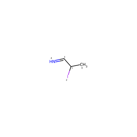 CC(I)C=N